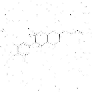 [2H]C1C2CCC(CCC=C)CC2CC([2H])([2H])C1c1cc(F)c(C#N)c(F)c1